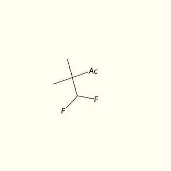 CC(=O)C(C)(C)C(F)F